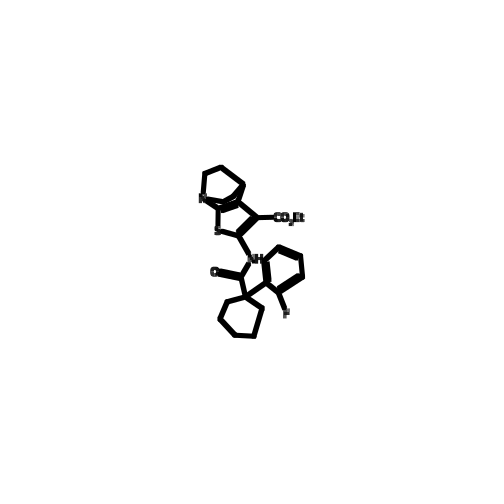 CCOC(=O)c1c(NC(=O)C2(c3ccccc3F)CCCCC2)sc2c1C1CCN2CC1